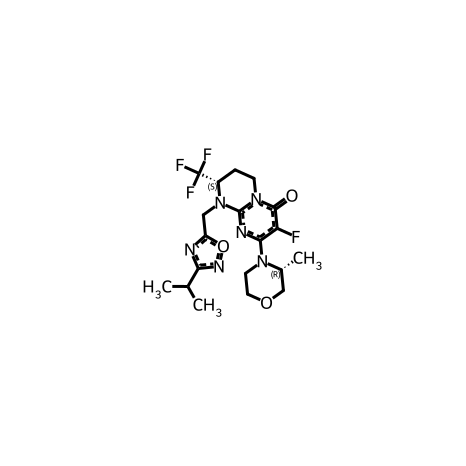 CC(C)c1noc(CN2c3nc(N4CCOC[C@H]4C)c(F)c(=O)n3CC[C@H]2C(F)(F)F)n1